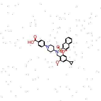 COc1cc(C2CC2)cc(OC)c1CN(C1CCN(c2ccc(C(=O)O)cc2)CC1)S(=O)(=O)c1ccc2ccccc2c1